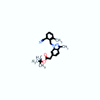 CC1=NN(Cc2c(C)cccc2C#N)C2C=C(CC(=O)OC(C)(C)C)C=CC12